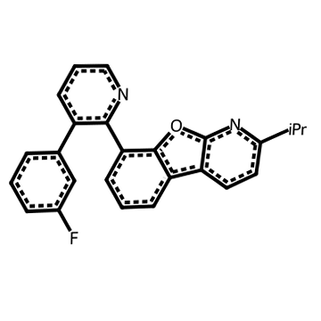 CC(C)c1ccc2c(n1)oc1c(-c3ncccc3-c3cccc(F)c3)cccc12